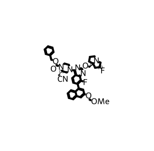 COCOc1cc(-c2ccc3c(N4CCN(C(=O)OCc5ccccc5)[C@@H](CC#N)C4)nc(OC[C@@]45CCCN4C[C@H](F)C5)nc3c2F)c2ccccc2c1